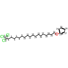 Cl[Si](Cl)(Cl)CCCCCCCCCCCCCCCCCCOc1ccccc1